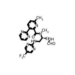 CC[C@@H](CNc1ncc(C(F)(F)F)cn1)N(C)C(=O)c1nc(C)ccc1-c1ncccn1.O=CO